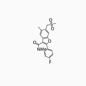 CNC(=O)c1c(-c2ccc(F)cc2)oc2cc(CS(C)(=O)=O)c(C)cc12